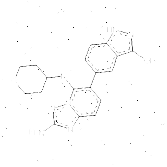 Cc1n[nH]c2ccc(-c3ccc4nc(N)nn4c3NC3CCOCC3)cc12